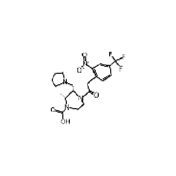 C[C@@H]1[C@H](CN2CCCC2)N(C(=O)Cc2ccc(C(F)(F)F)cc2[N+](=O)[O-])CCN1C(=O)O